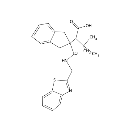 CC(C)(C)C(C(=O)O)C1(C(=O)NCc2nc3ccccc3s2)Cc2ccccc2C1